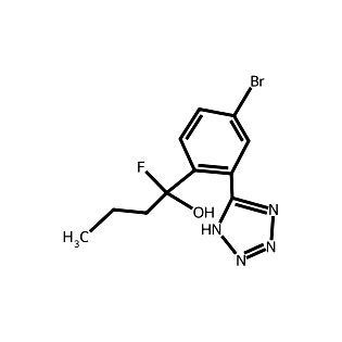 CCCC(O)(F)c1ccc(Br)cc1-c1nnn[nH]1